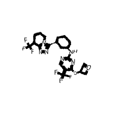 FC(F)(F)c1cnc(N[C@@H]2CCC[C@H](c3nnc4n3CCCC4C(F)(F)F)C2)nc1OC1COC1